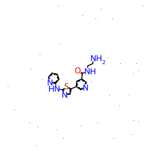 NCCNC(=O)c1cncc(-c2cnc(Nc3ccccn3)s2)c1